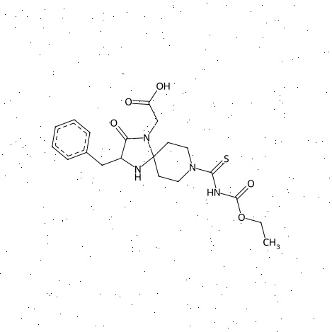 CCOC(=O)NC(=S)N1CCC2(CC1)NC(Cc1ccccc1)C(=O)N2CC(=O)O